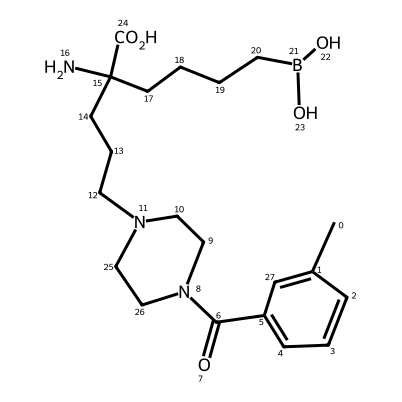 Cc1cccc(C(=O)N2CCN(CCCC(N)(CCCCB(O)O)C(=O)O)CC2)c1